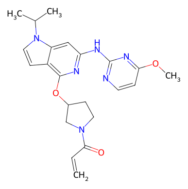 C=CC(=O)N1CCC(Oc2nc(Nc3nccc(OC)n3)cc3c2ccn3C(C)C)C1